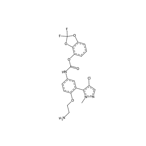 Cn1ncc(Cl)c1-c1cc(NC(=O)Oc2cccc3c2OC(F)(F)O3)ccc1OCCN